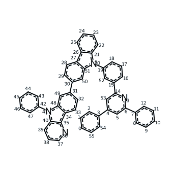 c1ccc(-c2cc(-c3ccccc3)nc(-c3cccc(-n4c5ccccc5c5ccc(-c6ccc7c8ncccc8n(-c8ccccc8)c7c6)cc54)c3)c2)cc1